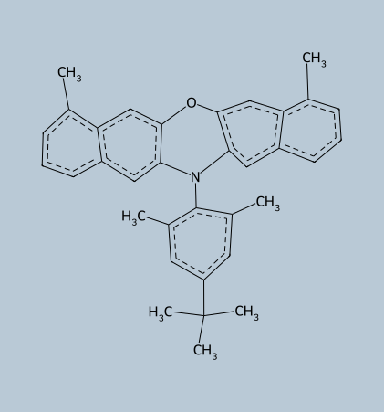 Cc1cc(C(C)(C)C)cc(C)c1N1c2cc3cccc(C)c3cc2Oc2cc3c(C)cccc3cc21